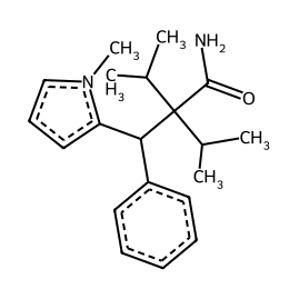 CC(C)C(C(N)=O)(C(C)C)C(c1ccccc1)c1cccn1C